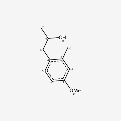 COc1ccc(CC(C)O)c(C)c1